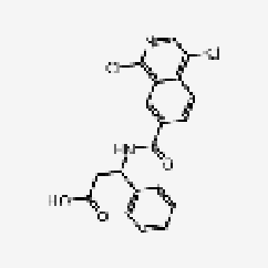 O=C(O)CC(NC(=O)c1ccc2c(Cl)cnc(Cl)c2c1)c1ccccc1